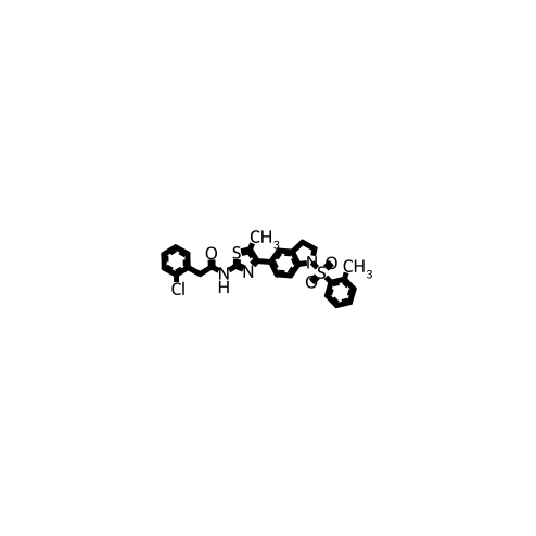 Cc1ccccc1S(=O)(=O)N1CCc2cc(-c3nc(NC(=O)Cc4ccccc4Cl)sc3C)ccc21